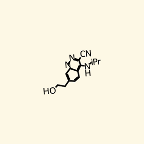 CC(C)Nc1c(C#N)nnc2cc(CCO)ccc12